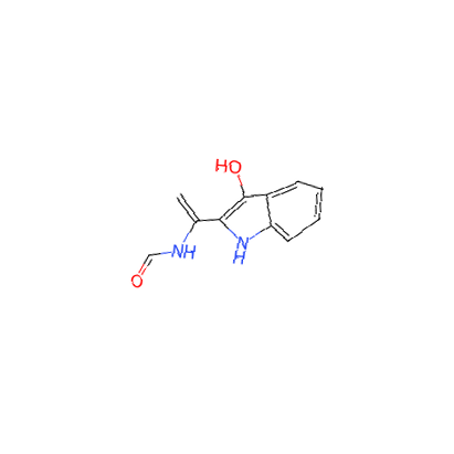 C=C(NC=O)c1[nH]c2ccccc2c1O